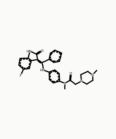 CN1CCN(CC(=O)N(C)c2ccc(NC(=C3C(=O)Nc4ccc(F)cc43)c3ccccc3)cc2)CC1